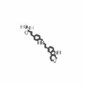 O=C(/C=C/c1ccc(CNCCc2ccc3[nH]c4c(c3c2)CCOC4)cc1)NO